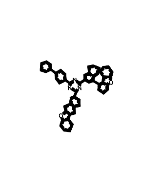 c1ccc(-c2ccc(-c3nc(-c4ccc5cc6c(cc5c4)oc4ccccc46)nc(-c4cc(-c5cccc6oc7ccccc7c56)c5ccccc5c4)n3)cc2)cc1